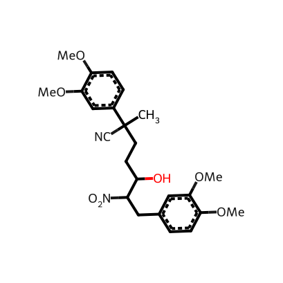 COc1ccc(CC(C(O)CCC(C)(C#N)c2ccc(OC)c(OC)c2)[N+](=O)[O-])cc1OC